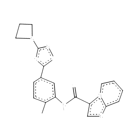 Cc1ccc(-c2nc(N3CCC3)no2)cc1NC(=O)c1cnc2ccccn12